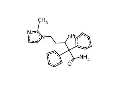 CCCC(CCn1ccnc1C)C(C(N)=O)(c1ccccc1)c1ccccc1